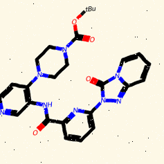 CC(C)(C)OC(=O)N1CCN(c2ccncc2NC(=O)c2cccc(-n3nc4ccccn4c3=O)n2)CC1